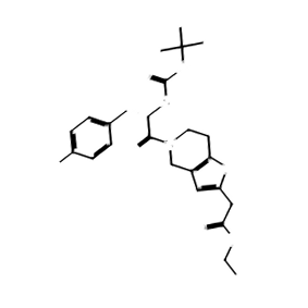 CCOC(=O)Cc1cc2c(s1)CCN(C(=O)[C@H](Cc1ccc(F)cc1)NC(=O)OC(C)(C)C)C2